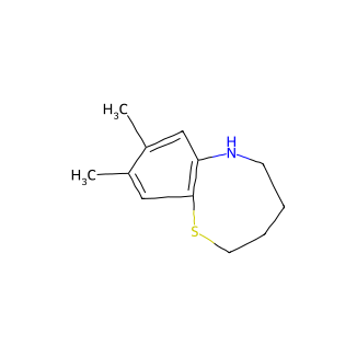 Cc1cc2c(cc1C)SCCCCN2